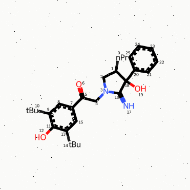 CCCC1CN(CC(=O)c2cc(C(C)(C)C)c(O)c(C(C)(C)C)c2)C(=N)C1(O)c1ccccc1